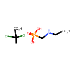 CC(Cl)(Cl)C(=O)O.O=C(O)CNCP(=O)(O)O